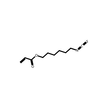 C=CC(=O)OCCCCCCN=C=S